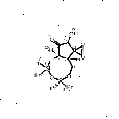 CC(C)[Si]1(C(C)C)OC[C@@H]2[C@@H](O[Si](C(C)C)(C(C)C)O1)C(=O)[C@@H](O)C21CC1